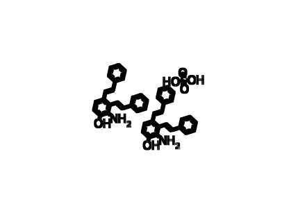 Nc1c(O)ccc(C=Cc2ccccc2)c1C=Cc1ccccc1.Nc1c(O)ccc(C=Cc2ccccc2)c1C=Cc1ccccc1.O=S(=O)(O)O